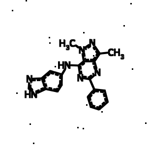 Cc1nn(C)c2c(Nc3ccc4[nH]cnc4c3)nc(-c3ccccc3)nc12